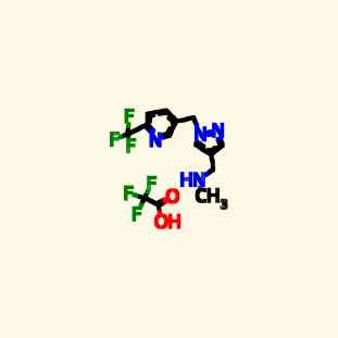 CNCc1cnn(Cc2ccc(C(F)(F)F)nc2)c1.O=C(O)C(F)(F)F